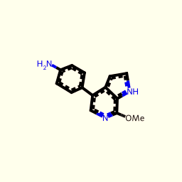 COc1ncc(-c2ccc(N)cc2)c2cc[nH]c12